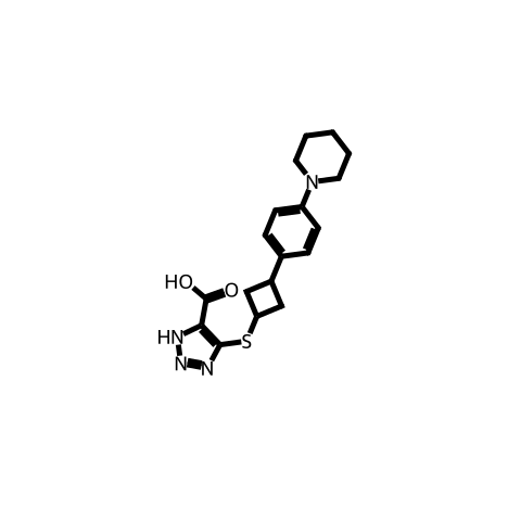 O=C(O)c1[nH]nnc1SC1CC(c2ccc(N3CCCCC3)cc2)C1